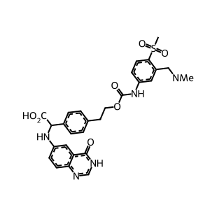 CNCc1cc(NC(=O)OCCc2ccc(C(Nc3ccc4nc[nH]c(=O)c4c3)C(=O)O)cc2)ccc1S(C)(=O)=O